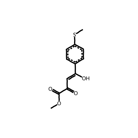 COC(=O)C(=O)C=C(O)c1ccc(SC)cc1